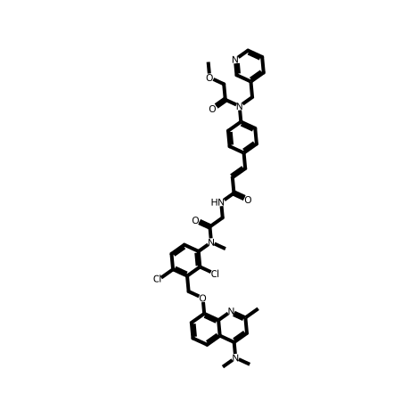 COCC(=O)N(Cc1cccnc1)c1ccc(/C=C/C(=O)NCC(=O)N(C)c2ccc(Cl)c(COc3cccc4c(N(C)C)cc(C)nc34)c2Cl)cc1